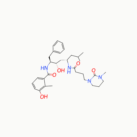 Cc1c(O)cccc1C(=O)N[C@@H](Cc1ccccc1)[C@@H](O)C[C@H](CC(C)C)NC(=O)CCCN1CCCN(C)C1=O